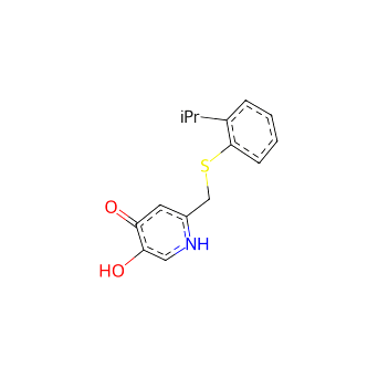 CC(C)c1ccccc1SCc1cc(=O)c(O)c[nH]1